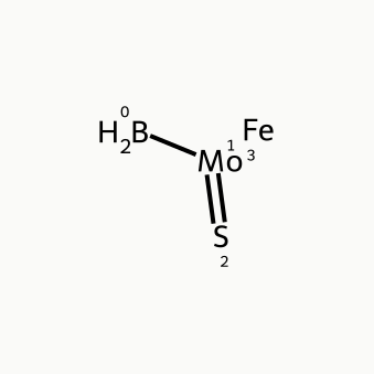 [BH2][Mo]=[S].[Fe]